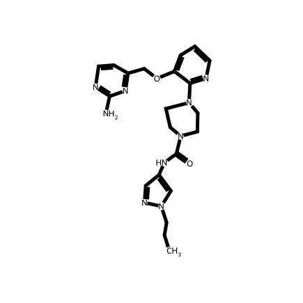 CCCn1cc(NC(=O)N2CCN(c3ncccc3OCc3ccnc(N)n3)CC2)cn1